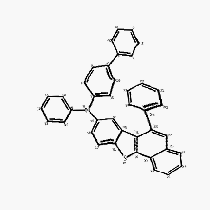 c1ccc(-c2ccc(N(c3ccccc3)c3ccc4sc5c6ccccc6cc(-c6ccccc6)c5c4c3)cc2)cc1